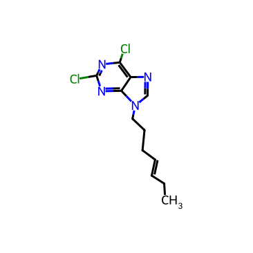 CCC=CCCCn1cnc2c(Cl)nc(Cl)nc21